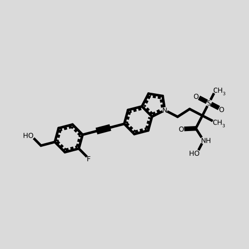 CC(CCn1ccc2cc(C#Cc3ccc(CO)cc3F)ccc21)(C(=O)NO)S(C)(=O)=O